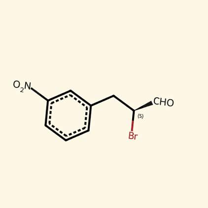 O=C[C@@H](Br)Cc1cccc([N+](=O)[O-])c1